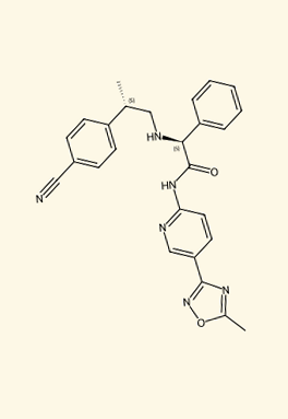 Cc1nc(-c2ccc(NC(=O)[C@@H](NC[C@@H](C)c3ccc(C#N)cc3)c3ccccc3)nc2)no1